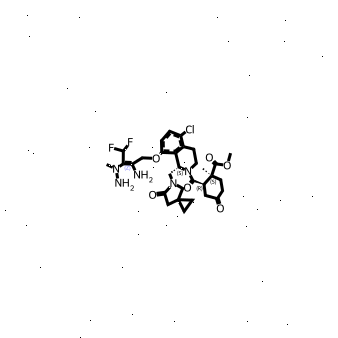 COC(=O)[C@@]1(C)CCC(=O)C[C@H]1C(=O)N1CCc2c(Cl)ccc(OC/C(N)=C(\C(F)F)N(C)N)c2[C@H]1CN1CC2(CC2)CC1=O